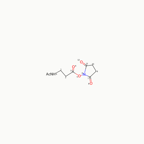 [13CH3][13C](=O)NCCC(=O)ON1C(=O)CCC1=O